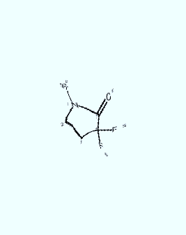 CCCN1CCC(F)(F)C1=O